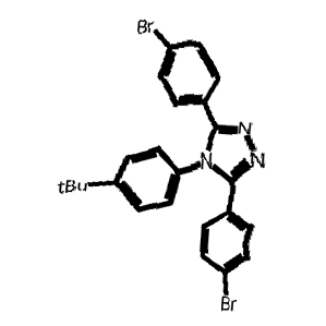 CC(C)(C)c1ccc(-n2c(-c3ccc(Br)cc3)nnc2-c2ccc(Br)cc2)cc1